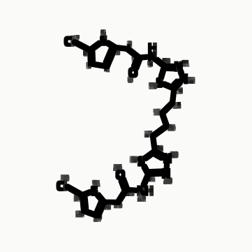 O=C(Cc1ccc(Cl)s1)Nc1nnc(CCCCc2nnc(NC(=O)Cc3ccc(Cl)s3)s2)s1